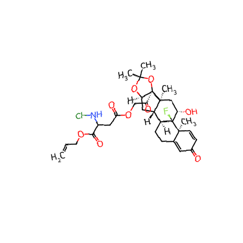 C=CCOC(=O)C(CC(=O)OCC(=O)[C@@]12OC(C)(C)O[C@@H]1C[C@H]1[C@@H]3CCC4=CC(=O)C=C[C@]4(C)[C@@]3(F)[C@@H](O)C[C@@]12C)NCl